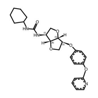 O=C(NC1CCCCC1)N[C@H]1CO[C@H]2[C@@H]1OC[C@@H]2Oc1ccc(Oc2ccccn2)cc1